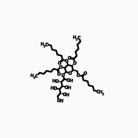 CCCCCCC(=O)OC[C@H]1O[C@@H](OC(O)[C@@H](O)[C@@H](O)[C@H](O)[C@H](O)CO)[C@@H](OC(=O)CCCCCC)[C@@H](OC(=O)CCCCCC)[C@@H]1OC(=O)CCCCCC